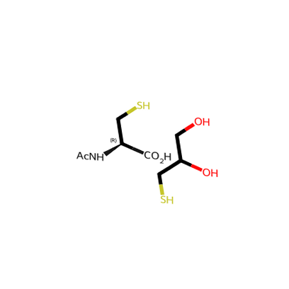 CC(=O)N[C@@H](CS)C(=O)O.OCC(O)CS